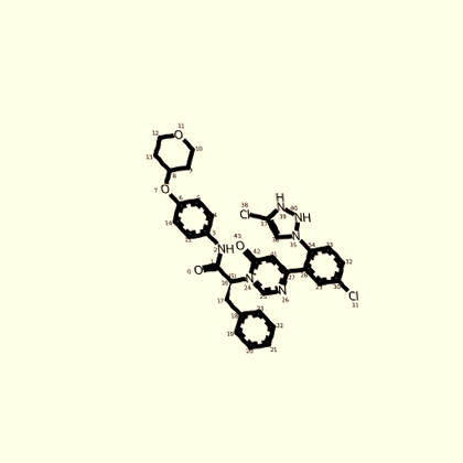 O=C(Nc1ccc(OC2CCOCC2)cc1)[C@H](Cc1ccccc1)n1cnc(-c2cc(Cl)ccc2N2C=C(Cl)NN2)cc1=O